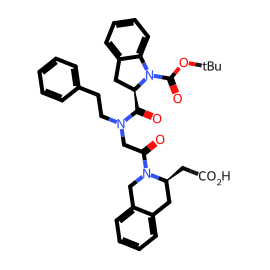 CC(C)(C)OC(=O)N1c2ccccc2C[C@@H]1C(=O)N(CCc1ccccc1)CC(=O)N1Cc2ccccc2C[C@@H]1CC(=O)O